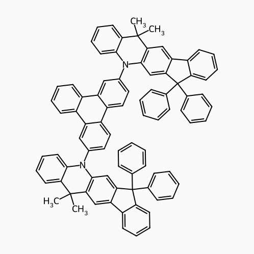 CC1(C)c2ccccc2N(c2ccc3c4ccc(N5c6ccccc6C(C)(C)c6cc7c(cc65)C(c5ccccc5)(c5ccccc5)c5ccccc5-7)cc4c4ccccc4c3c2)c2cc3c(cc21)-c1ccccc1C3(c1ccccc1)c1ccccc1